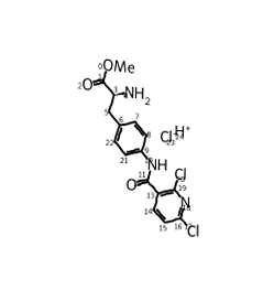 COC(=O)[C@@H](N)Cc1ccc(NC(=O)c2ccc(Cl)nc2Cl)cc1.[Cl-].[H+]